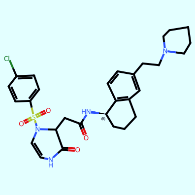 O=C(CC1C(=O)NC=CN1S(=O)(=O)c1ccc(Cl)cc1)N[C@@H]1CCCc2cc(CCN3CCCCC3)ccc21